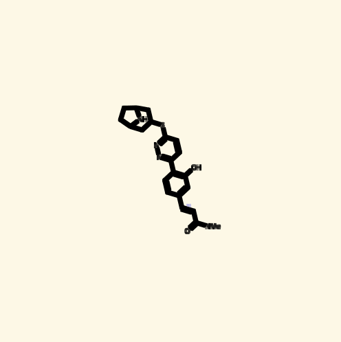 CNC(=O)/C=C/c1ccc(-c2ccc(SC3CC4CCC(C3)N4)nn2)c(O)c1